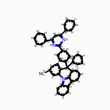 N#Cc1ccc2c(c1)-n1c3ccccc3c3cccc(c31)C2(c1ccccc1)c1ccc(-c2nc(-c3ccccc3)cc(-c3ccccc3)n2)cc1